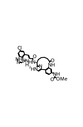 COC(=O)Nc1ccc2c(c1)NC(=O)CCCC[C@H](NC(=O)/C=C/c1cc(Cl)ccc1N(N)/C=N\N)c1nc-2c[nH]1